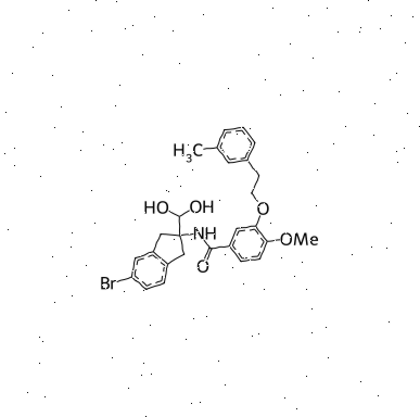 COc1ccc(C(=O)NC2(C(O)O)Cc3ccc(Br)cc3C2)cc1OCCc1cccc(C)c1